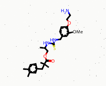 COc1cc(CNC(=S)NC(C)COC(=O)C(C)(C)Cc2ccc(C)c(C)c2)ccc1OCCN